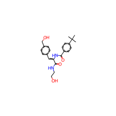 CC(C)(C)c1ccc(C(=O)N/C(=C\c2ccc(CO)cc2)C(=O)NCCO)cc1